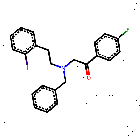 O=C(CN(CCc1ccccc1I)Cc1ccccc1)c1ccc(F)cc1